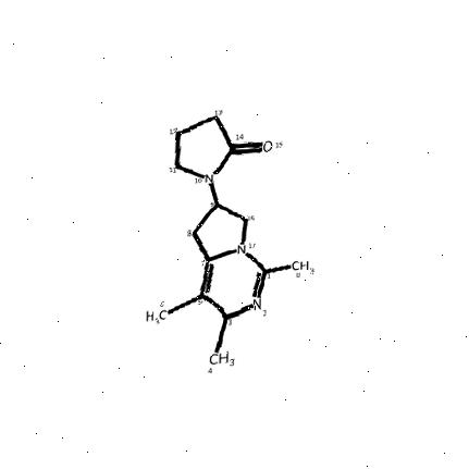 CC1=NC(C)C(C)=C2CC(N3CCCC3=O)CN12